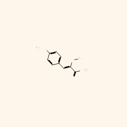 CCO/C(=C\c1ccc(OC)cc1)C(=O)OC